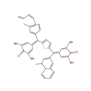 C=C/C=C\c1ccc(C(=C2C=C(C(C)(C)C)C(=O)C(C(C)(C)C)=C2)c2ccc(C(C3=CC(C)C4C=CC=CC4=C3)=C3C=C(C(C)(C)C)C(=O)C(C(C)(C)C)=C3)s2)cc1C